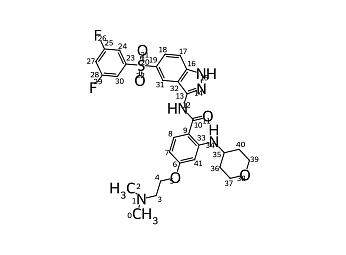 CN(C)CCOc1ccc(C(=O)Nc2n[nH]c3ccc(S(=O)(=O)c4cc(F)cc(F)c4)cc23)c(NC2CCOCC2)c1